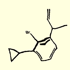 C=C[C](C)c1cccc(C2CC2)c1Br